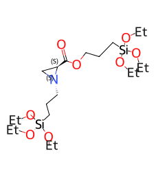 CCO[Si](CCCOC(=O)[C@@H]1C[N@@]1CCC[Si](OCC)(OCC)OCC)(OCC)OCC